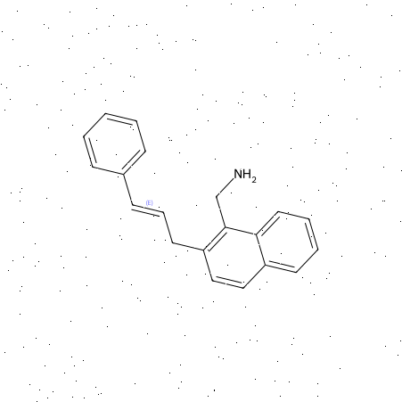 NCc1c(C/C=C/c2ccccc2)ccc2ccccc12